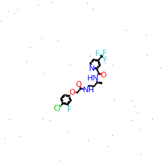 C=C(CCNC(=O)COc1ccc(Cl)c(F)c1)NC(=O)c1cc(C(F)(F)F)ccn1